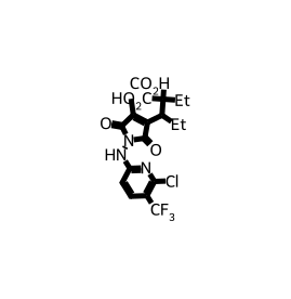 CCC(C1=C(C)C(=O)N(Nc2ccc(C(F)(F)F)c(Cl)n2)C1=O)C(CC)(C(=O)O)C(=O)O